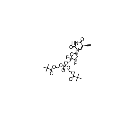 C#Cc1cn([C@H]2C[C@H](F)[C@@](F)(COP(=O)(OCOC(=O)C(C)(C)C)OCOC(=O)C(C)(C)C)O2)c(=O)[nH]c1=O